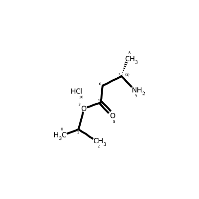 CC(C)OC(=O)C[C@H](C)N.Cl